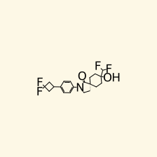 O=C1N(c2ccc(C3CC(F)(F)C3)cc2)CC[C@]12CC[C@@](O)(C(F)F)CC2